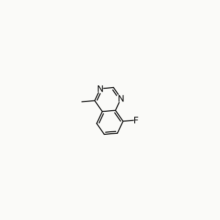 Cc1ncnc2c(F)cccc12